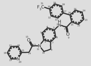 O=C(Nc1ccc2c(c1)CCN2C(=O)Cc1ccccn1)c1ccccc1-c1ccc(C(F)(F)F)cc1